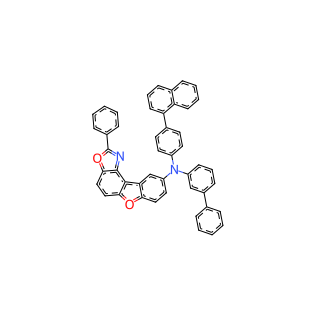 c1ccc(-c2cccc(N(c3ccc(-c4cccc5ccccc45)cc3)c3ccc4oc5ccc6oc(-c7ccccc7)nc6c5c4c3)c2)cc1